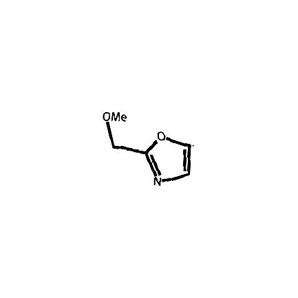 COCc1nc[c]o1